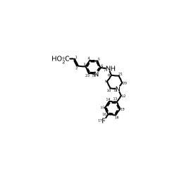 O=C(O)C=Cc1ccc(NC2CCN(Cc3ccc(F)cc3)CC2)nc1